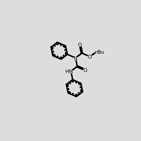 CCCCOC(=O)N(C(=O)Nc1ccccc1)c1ccccc1